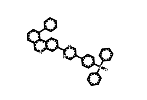 O=P(c1ccccc1)(c1ccccc1)c1ccc(-c2cnc(-c3ccc4c(c3)ncc3cccc(-c5ccccc5)c34)nc2)cc1